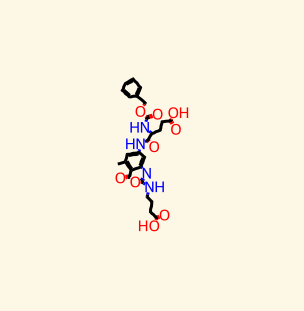 Cc1cc(NC(=O)C(CCC(=O)O)NC(=O)OCc2ccccc2)cc2nc(NCCCC(=O)O)oc(=O)c12